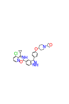 O=C(N[C@H](c1ncccc1Cl)C1CC1)c1ccc2[nH]nc(-c3ccc(OC4CCN(C5COC5)CC4)cc3)c2c1